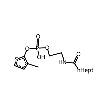 CCCCCCCC(=O)NCCOP(=O)(O)Oc1sccc1C